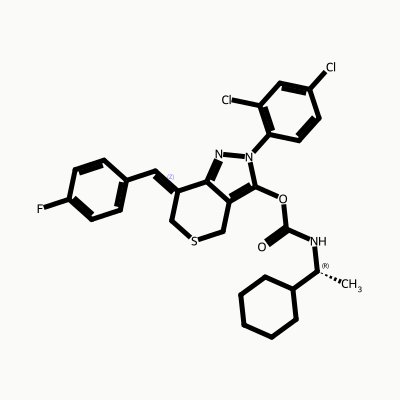 C[C@@H](NC(=O)Oc1c2c(nn1-c1ccc(Cl)cc1Cl)/C(=C/c1ccc(F)cc1)CSC2)C1CCCCC1